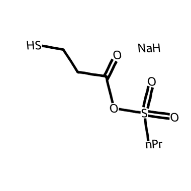 CCCS(=O)(=O)OC(=O)CCS.[NaH]